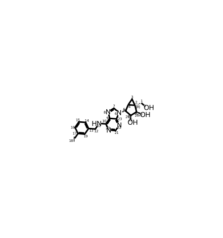 OC[C@@]12CC1[C@@H](n1cnc3c(NCc4cccc(I)c4)ncnc31)[C@H](O)[C@@H]2O